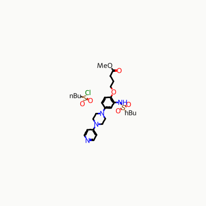 CCCCS(=O)(=O)Cl.CCCCS(=O)(=O)Nc1cc(N2CCN(c3ccncc3)CC2)ccc1OCCCC(=O)OC